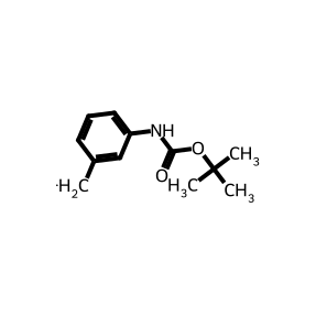 [CH2]c1cccc(NC(=O)OC(C)(C)C)c1